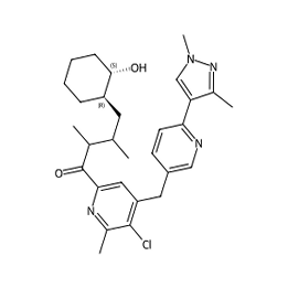 Cc1nn(C)cc1-c1ccc(Cc2cc(C(=O)C(C)C(C)C[C@H]3CCCC[C@@H]3O)nc(C)c2Cl)cn1